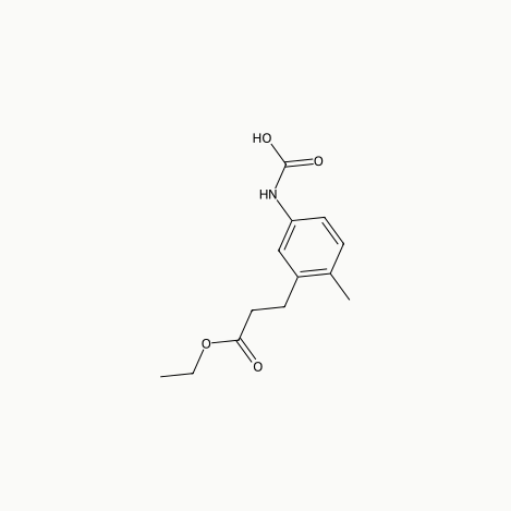 CCOC(=O)CCc1cc(NC(=O)O)ccc1C